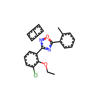 CCOc1c(Cl)cccc1-c1noc(-c2ccccc2C)n1.c1cc2ccc1-2